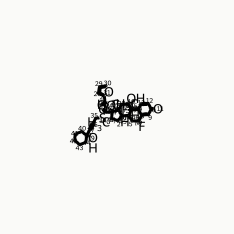 C[C@@H]1C[C@H]2[C@@H]3C[C@H](F)C4=CC(=O)C=C[C@]4(C)[C@@]3(F)[C@@H](O)C[C@]2(C)[C@@]1(OC(=O)c1ccco1)C(=O)SCC#CC1(O)CCCCC1